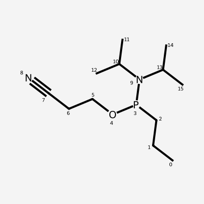 CCCP(OCCC#N)N(C(C)C)C(C)C